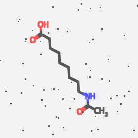 CC(=O)NCCCCCCCCC(=O)O